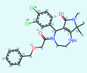 CN1C(=O)C2=C(NCCN(C(=O)COCc3ccccc3)C2c2ccc(Cl)c(Cl)c2)C1(C)C